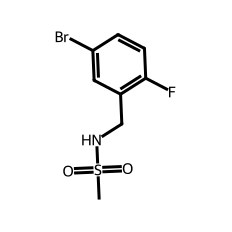 CS(=O)(=O)NCc1cc(Br)ccc1F